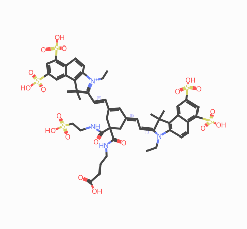 CCN1/C(=C/C=C2C=C(/C=C/C3=[N+](CC)c4ccc5c(S(=O)(=O)O)cc(S(=O)(=O)O)cc5c4C3(C)C)CC(C(=O)NCCCC(=O)O)(C(=O)NCCS(=O)(=O)O)C/2)C(C)(C)c2c1ccc1c(S(=O)(=O)O)cc(S(=O)(=O)O)cc21